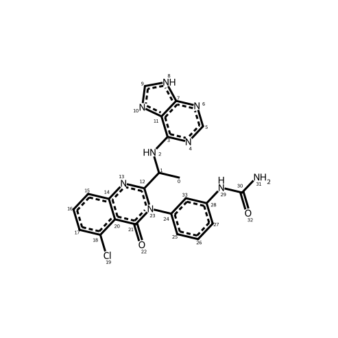 CC(Nc1ncnc2[nH]cnc12)c1nc2cccc(Cl)c2c(=O)n1-c1cccc(NC(N)=O)c1